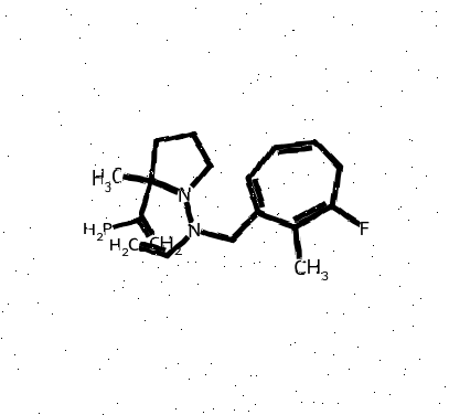 C=CN(CC1=CC=CCC(F)=C1C)N1CCCC1(C)C(=C)P